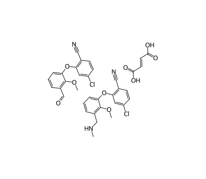 CNCc1cccc(Oc2cc(Cl)ccc2C#N)c1OC.COc1c(C=O)cccc1Oc1cc(Cl)ccc1C#N.O=C(O)C=CC(=O)O